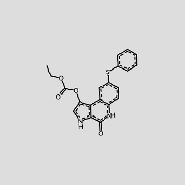 CCOC(=O)Oc1c[nH]c2c(=O)[nH]c3ccc(Sc4ccccc4)cc3c12